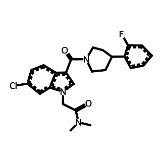 CN(C)C(=O)Cn1cc(C(=O)N2CCC(c3ccccc3F)CC2)c2ccc(Cl)cc21